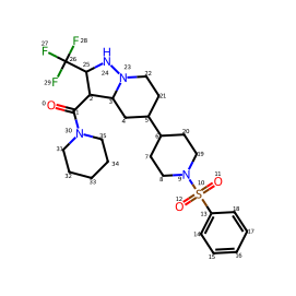 O=C(C1C2CC(C3CCN(S(=O)(=O)c4ccccc4)CC3)CCN2NC1C(F)(F)F)N1CCCCC1